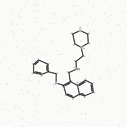 c1ccc(COc2ccc3ccccc3c2CNCCN2CCOCC2)cc1